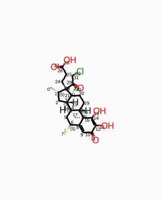 C[C@H]1C[C@H]2[C@@H]3C[C@H](F)C4=CC(=O)C(O)=C(O)[C@]4(C)[C@H]3CC[C@]2(C)[C@@]1(CCC(=O)O)C(=O)CCl